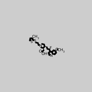 COc1ccc2nccc([C@@H](F)CC[C@@H]3CCN(CCCSc4sccc4C)C[C@@H]3CC(=O)O)c2c1